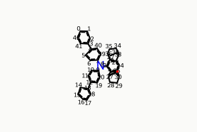 c1ccc(-c2ccc(N(c3ccc(-c4ccccc4)cc3)c3c4c(cc5c3C3CCC5CC3)C3CCC4CC3)cc2)cc1